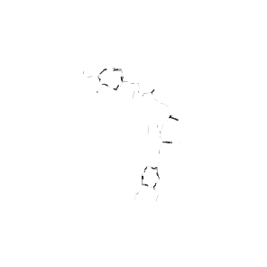 C=C(CCC(=O)NCc1ccc(OC)c(Cl)c1)NC(=O)COc1ccc(Cl)c(F)c1